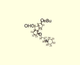 CCCCOc1ccc2c(c1)C(C=O)c1cccc(OCCCN3CCCCC3)c1-2